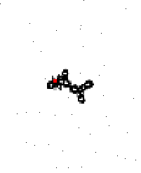 c1ccc(-n2c3ccc(-c4cc5c6ccccc6n6c7nc8ccccc8nc7c(c4)c56)cc3c3cc4ccccc4cc32)cc1